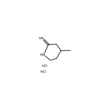 CC1CCNC(=N)C1.Cl.Cl